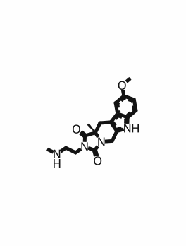 CNCCN1C(=O)N2Cc3[nH]c4ccc(OC)cc4c3C[C@@]2(C)C1=O